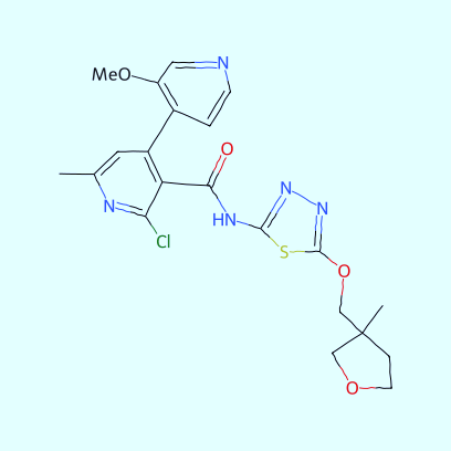 COc1cnccc1-c1cc(C)nc(Cl)c1C(=O)Nc1nnc(OCC2(C)CCOC2)s1